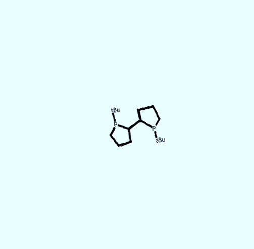 CC(C)(C)P1CCCC1C1CCCP1C(C)(C)C